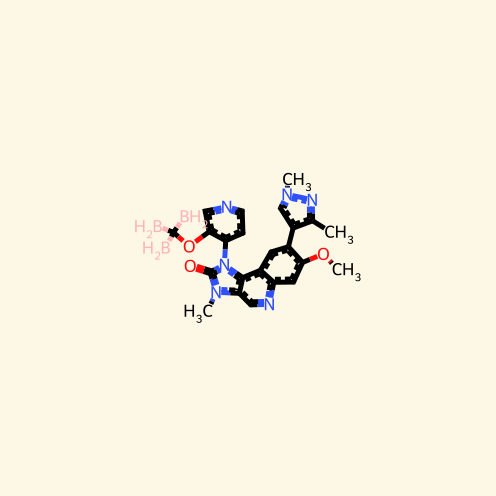 BC(B)(B)Oc1cnccc1-n1c(=O)n(C)c2cnc3cc(OC)c(-c4cn(C)nc4C)cc3c21